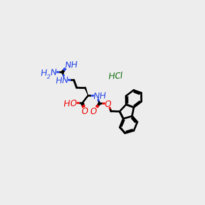 Cl.N=C(N)NCCC[C@@H](NC(=O)OCC1c2ccccc2-c2ccccc21)C(=O)O